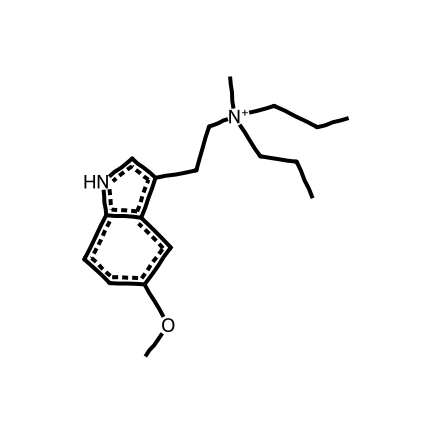 CCC[N+](C)(CCC)CCc1c[nH]c2ccc(OC)cc12